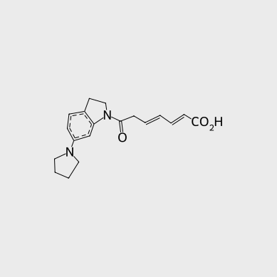 O=C(O)C=CC=CCC(=O)N1CCc2ccc(N3CCCC3)cc21